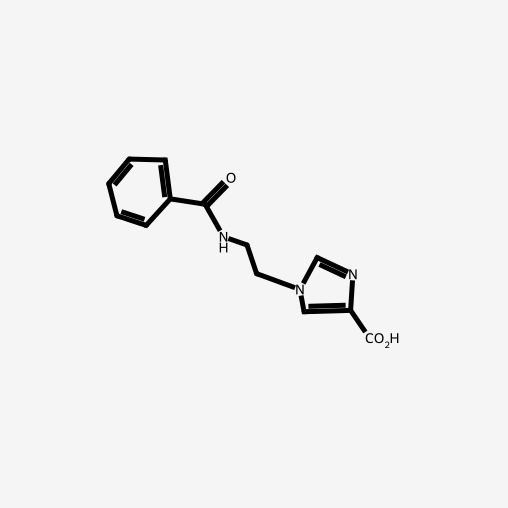 O=C(NCCn1cnc(C(=O)O)c1)c1ccccc1